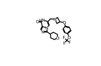 O=c1[nH]c(CN2CC(Oc3ccc(OC(F)(F)F)cc3)C2)cn2c(C3CCOCC3)ncc12